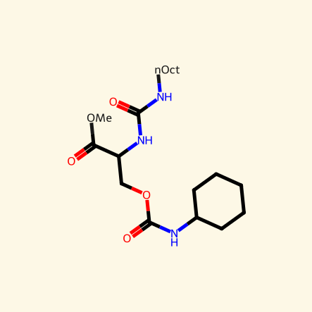 CCCCCCCCNC(=O)NC(COC(=O)NC1CCCCC1)C(=O)OC